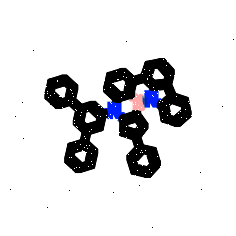 C1=C(c2ccccc2)CC2=C1N(c1cc(-c3ccccc3)cc(-c3ccccc3)c1)c1cccc3c1B2n1c2ccccc2c2cccc-3c21